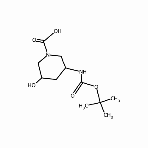 CC(C)(C)OC(=O)NC1CC(O)CN(C(=O)O)C1